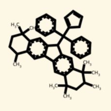 CC1CCC(C)(C)c2cc3c(cc21)-c1cc2c(cc1C3C(C1=CC=CC1)(c1ccccc1)c1ccccc1)C(C)(C)C(C)CC2(C)C